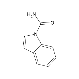 NC(=O)n1ccc2ccccc21